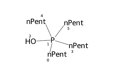 CCCCCP(O)(CCCCC)(CCCCC)CCCCC